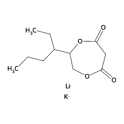 CCCC(CC)C1COC(=O)CC(=O)O1.[K].[Li]